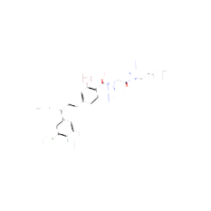 O=C(CNC(=O)c1ccc(/C=C/C(c2cc(Cl)c(Cl)c(Cl)c2)C(F)(F)F)cc1Br)NCCC(F)(F)F